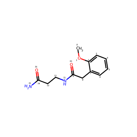 COc1ccccc1CC(=O)NCCC(N)=O